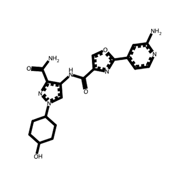 NC(=O)c1nn(C2CCC(O)CC2)cc1NC(=O)c1coc(-c2ccnc(N)c2)n1